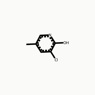 Cc1cnc(O)c(Cl)c1